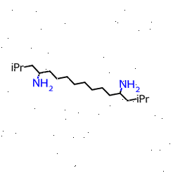 CC(C)CC(N)CCCCCCCCC(N)CC(C)C